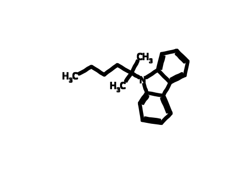 CCCCC(C)(C)n1c2ccccc2c2ccccc21